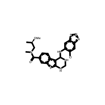 CO[C@H](C)CN(C)C(=O)c1ccc2c3c(sc2c1)NCNC3Nc1cc2snnc2cc1Cl